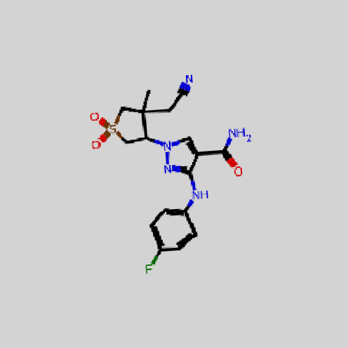 CC1(CC#N)CS(=O)(=O)CC1n1cc(C(N)=O)c(Nc2ccc(F)cc2)n1